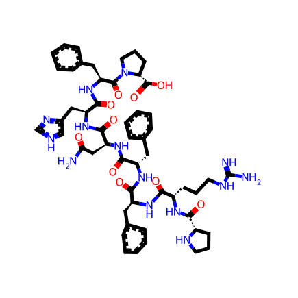 N=C(N)NCCC[C@H](NC(=O)[C@@H]1CCCN1)C(=O)N[C@@H](Cc1ccccc1)C(=O)N[C@@H](Cc1ccccc1)C(=O)N[C@@H](CC(N)=O)C(=O)N[C@@H](Cc1c[nH]cn1)C(=O)N[C@@H](Cc1ccccc1)C(=O)N1CCC[C@@H]1C(=O)O